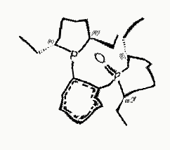 CC[C@@H]1CC[C@@H](CC)P1c1ccccc1P1(=O)[C@H](CC)CC[C@H]1CC